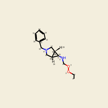 CCOOCN[C@H]1[C@@H]2CN(Cc3ccccc3)C[C@@H]21